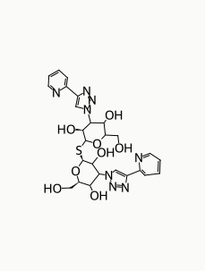 OCC1OC(S[C@@H]2O[C@H](CO)C(O)C(n3cc(-c4ccccn4)nn3)C2O)[C@@H](O)C(n2cc(-c3ccccn3)nn2)C1O